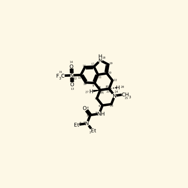 CCN(CC)C(=O)NC1C[C@@H]2c3cc(S(=O)(=O)C(F)(F)F)cc4[nH]cc(c34)C[C@H]2N(C)C1